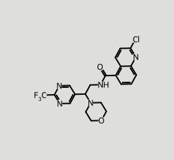 O=C(NCC(c1cnc(C(F)(F)F)nc1)N1CCOCC1)c1cccc2nc(Cl)ccc12